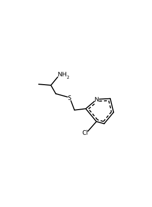 CC(N)CSCc1ncccc1Cl